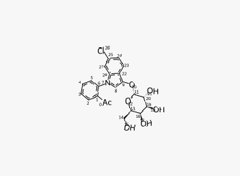 CC(=O)c1ccccc1-n1cc(O[C@H]2O[C@H](CO)[C@H](O)[C@H](O)[C@H]2O)c2ccc(Cl)cc21